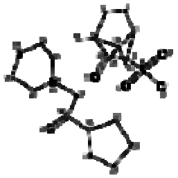 CC12CCC(C(S(=O)(=O)[O-])C1=O)C2(C)C.O=C(C[S+]1CCSCC1)C1CCCC1